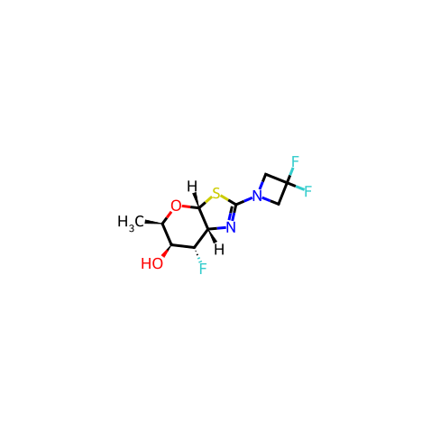 C[C@H]1O[C@@H]2SC(N3CC(F)(F)C3)=N[C@@H]2[C@H](F)[C@H]1O